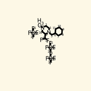 CN1CCN(CC2CCCCC2)C(C(F)F)C1.F[B-](F)(F)F.F[B-](F)(F)F.F[B-](F)(F)F